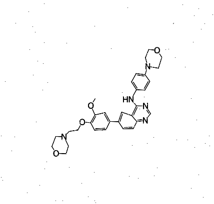 COc1cc(-c2ccc3ncnc(Nc4ccc(N5CCOCC5)cc4)c3c2)ccc1OCCN1CCOCC1